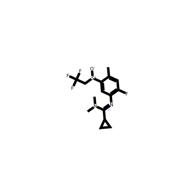 Cc1cc(F)c(/N=C(/C2CC2)N(C)C)cc1[S+]([O-])CC(F)(F)F